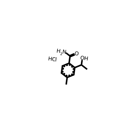 Cc1ccc(C(N)=O)c(C(C)O)c1.Cl